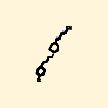 CCc1ccc(CCCC[C@H]2CC[C@H](/C=C/C=C/C#N)CC2)cc1